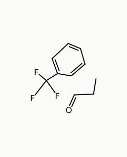 CCC=O.FC(F)(F)c1ccccc1